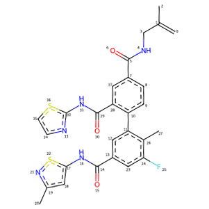 C=C(C)CNC(=O)c1ccc(-c2cc(C(=O)Nc3cc(C)ns3)cc(F)c2C)c(C(=O)Nc2nccs2)c1